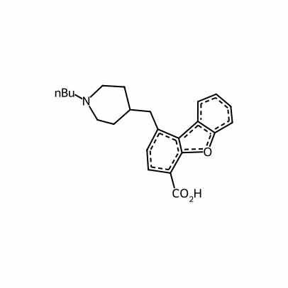 CCCCN1CCC(Cc2ccc(C(=O)O)c3oc4ccccc4c23)CC1